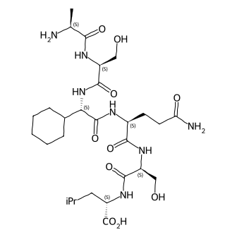 CC(C)C[C@H](NC(=O)[C@H](CO)NC(=O)[C@H](CCC(N)=O)NC(=O)[C@@H](NC(=O)[C@H](CO)NC(=O)[C@H](C)N)C1CCCCC1)C(=O)O